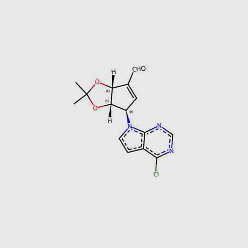 CC1(C)O[C@@H]2[C@H](O1)C(C=O)=C[C@H]2n1ccc2c(Cl)ncnc21